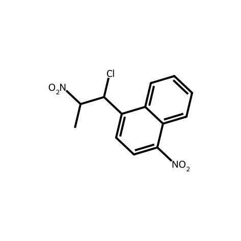 CC(C(Cl)c1ccc([N+](=O)[O-])c2ccccc12)[N+](=O)[O-]